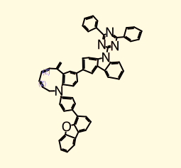 C=C1/C=C\C=C/CN(c2ccc(-c3cccc4c3oc3ccccc34)cc2)c2ccc(-c3ccc4c(c3)c3ccccc3n4-c3nc(-c4ccccc4)nc(-c4ccccc4)n3)cc21